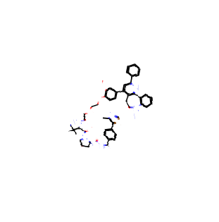 COc1cc(-c2cc(-c3ccccc3)nc3c2CC(=O)Nc2ccccc2-3)ccc1OCCOCC(=O)N[C@H](C(=O)N1C[C@H](O)C[C@H]1C(=O)N[C@@H](C)c1ccc(-c2scnc2C)cc1)C(C)(C)C